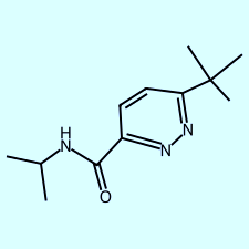 CC(C)NC(=O)c1ccc(C(C)(C)C)nn1